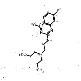 CCCN(CCC)CCNc1nc2cc(F)ccc2[n+]([O-])n1